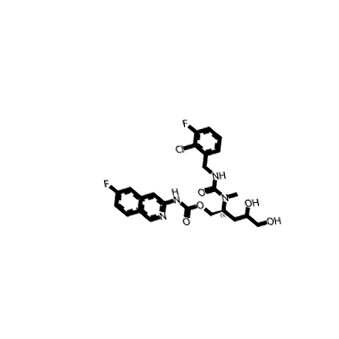 CN(C(=O)NCc1cccc(F)c1Cl)[C@H](COC(=O)Nc1cc2cc(F)ccc2cn1)CC(O)CO